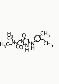 CCc1cc(Nc2cc(=O)n(CC(=O)N(CC)CC)c(=O)[nH]2)ccc1C